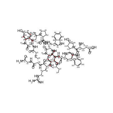 CCCC[C@@H](C(=O)N(C)[C@@H](CCCC)C(=O)N[C@@H](CCCNC(=N)N)C(=O)N[C@@H](CSCC(=O)N[C@@H](Cc1ccc(O)cc1)C(=O)N(C)[C@@H](C)C(=O)N[C@@H](CCN)C(=O)N1CCC[C@H]1C(N)=O)C(=O)NCC(N)=O)N(C)C(=O)[C@H](Cc1c[nH]c2ccccc12)NC(=O)[C@H](CO)NC(=O)[C@H](Cc1c[nH]c2ccccc12)NC(=O)[C@@H]1C[C@@H](O)CN1C(=O)[C@@H](N)CCC(=O)O